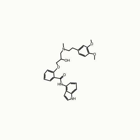 COc1ccc(CCN(C)CC(O)COc2ccccc2C(=O)Nc2cccc3[nH]ccc23)cc1OC